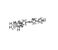 CCC(C)Nc1nc2cc(C#Cc3ccc(-c4ccc(Cl)cc4)cn3)ccc2n1C